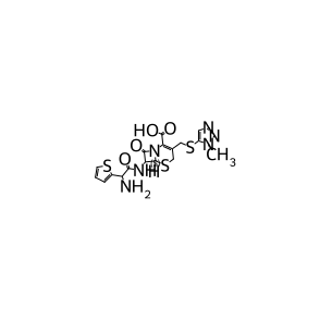 Cn1nncc1SCC1=C(C(=O)O)N2C(=O)C(NC(=O)C(N)c3cccs3)[C@@H]2SC1